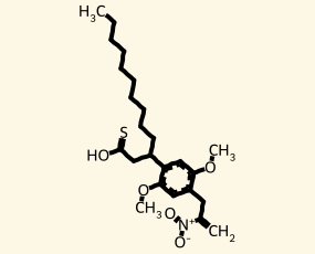 C=C(Cc1cc(OC)c(C(CCCCCCCCCC)CC(O)=S)cc1OC)[N+](=O)[O-]